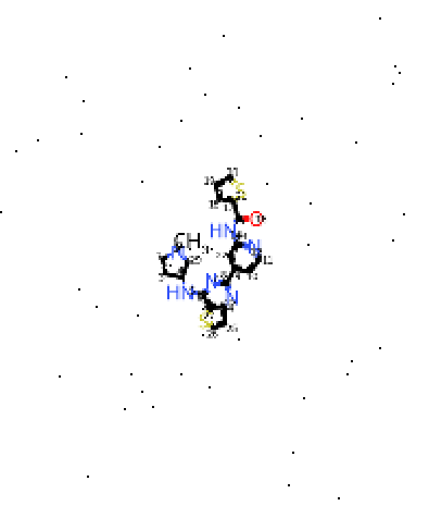 CN1CC[C@@H](Nc2nc(-c3ccnc(NC(=O)c4cccs4)c3)nc3ccsc23)C1